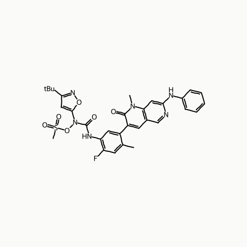 Cc1cc(F)c(NC(=O)N(OS(C)(=O)=O)c2cc(C(C)(C)C)no2)cc1-c1cc2cnc(Nc3ccccc3)cc2n(C)c1=O